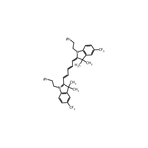 CC(C)CCN1/C(=C/C=C/C=C/C2=[N+](CCC(C)C)c3ccc(C(F)(F)F)cc3C2(C)C)C(C)(C)c2cc(C(F)(F)F)ccc21